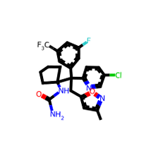 Cc1cc(CC(c2cc(F)cc(C(F)(F)F)c2)(c2ccc(Cl)cn2)C2(NC(N)=O)CCCC2)on1